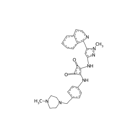 CN1CCN(Cc2ccc(Nc3c(Nc4cc(-c5nccc6ccccc56)n(C)n4)c(=O)c3=O)cc2)CC1